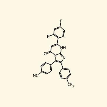 N#Cc1ccc(-c2c(-c3ccc(C(F)(F)F)cc3)nc3[nH]c(-c4ccc(F)cc4F)cc(=O)n23)cc1